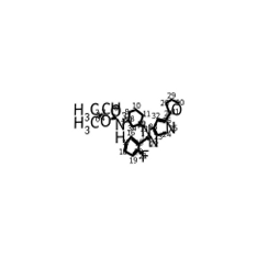 CC(C)(C)OC(=O)N[C@H]1CCC[C@@H](n2c(-c3ccccc3F)nc3cnc(C4CCCO4)cc32)C1